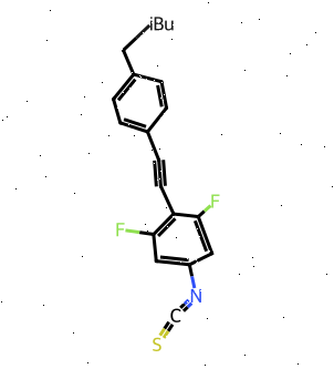 CCC(C)Cc1ccc(C#Cc2c(F)cc(N=C=S)cc2F)cc1